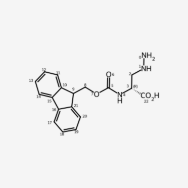 NNC[C@@H](NC(=O)OCC1c2ccccc2-c2ccccc21)C(=O)O